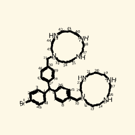 Brc1ccc(C(c2ccc(CN3CCCNCCNCCCNCC3)cc2)c2ccc(CN3CCCNCCNCCCNCC3)cc2)cc1